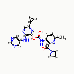 Cc1ccc(NC(=O)Oc2nc(C3CC3)cnc2Nc2cncnc2)c(C(=O)N2CCC2)n1